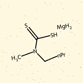 CCCCN(C)C(=S)S.[MgH2]